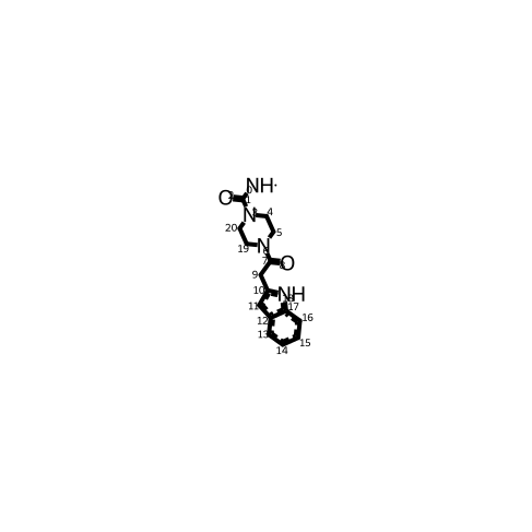 [NH]C(=O)N1CCN(C(=O)Cc2cc3ccccc3[nH]2)CC1